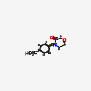 O=C(O)c1ccc(N2CCOCC2=O)cc1